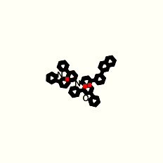 c1cc(-c2ccc(N(c3ccc(-c4ccccc4-n4c5ccccc5c5ccccc54)cc3)c3ccccc3-c3cccc4c3oc3ccccc34)cc2)cc(-c2ccc3ccccc3c2)c1